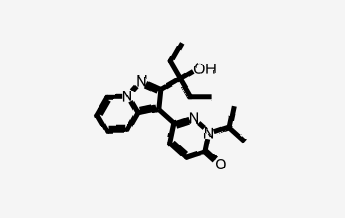 CCC(O)(CC)c1nn2ccccc2c1-c1ccc(=O)n(C(C)C)n1